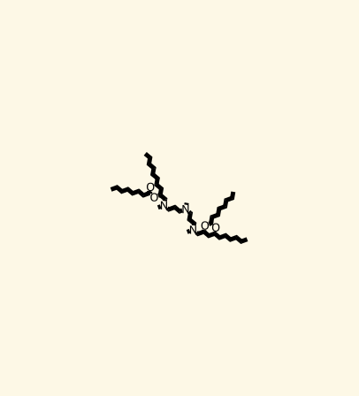 CCCCCCCCC(CN(C)CCCN(C)CCCN(C)CC(CCCCCCCC)OC(=O)CCCCCCC)OC(=O)CCCCCCC